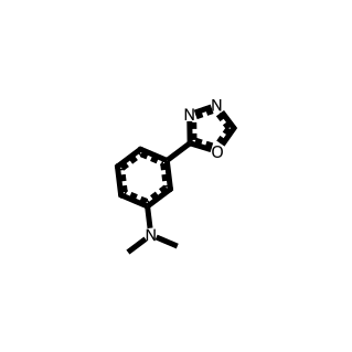 CN(C)c1cccc(-c2nnco2)c1